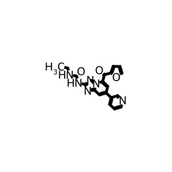 CCNC(=O)Nc1nc2cc(-c3cccnc3)cc(C(=O)c3ccco3)n2n1